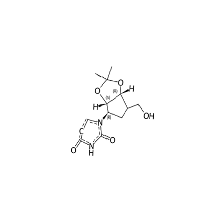 CC1(C)O[C@@H]2[C@H](O1)C(CO)C[C@H]2n1ccc(=O)[nH]c1=O